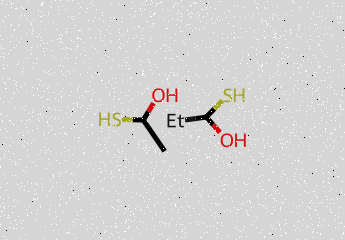 CC(O)S.CCC(O)S